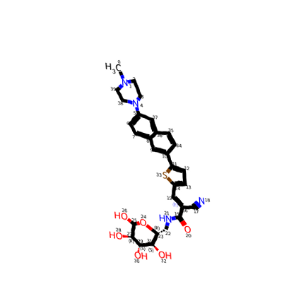 CN1CCN(c2ccc3cc(-c4ccc(/C=C(\C#N)C(=O)NC[C@H]5OC(O)[C@H](O)[C@@H](O)[C@@H]5O)s4)ccc3c2)CC1